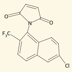 O=C1C=CC(=O)N1c1c(C(F)(F)F)ccc2cc(Cl)ccc12